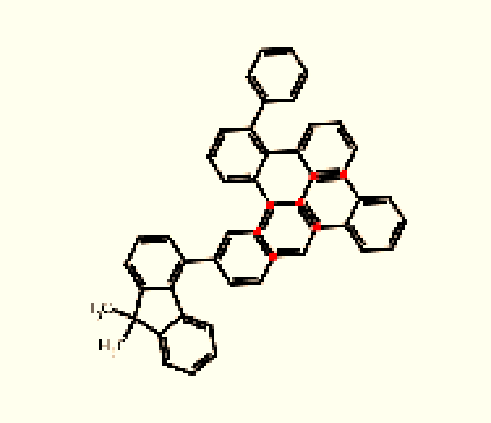 CC1(C)c2ccccc2-c2c(-c3cccc(N(c4ccc5ccccc5c4)c4cccc(-c5ccccc5)c4-c4ccccc4-c4ccccc4)c3)cccc21